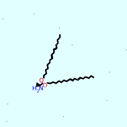 CCCCCC=CCC=CCCCCCCCCOC(OCCCCCCCCC=CCC=CCCCCC)C1(N)CC1